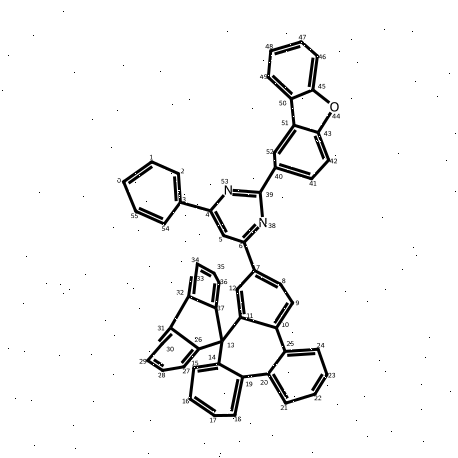 c1ccc(-c2cc(-c3ccc4c(c3)C3(c5ccccc5-c5ccccc5-4)c4ccccc4-c4ccccc43)nc(-c3ccc4oc5ccccc5c4c3)n2)cc1